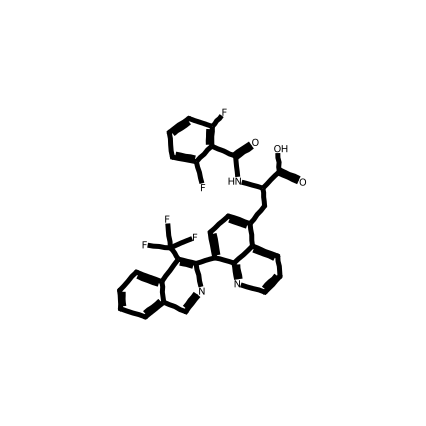 O=C(NC(Cc1ccc(-c2ncc3ccccc3c2C(F)(F)F)c2ncccc12)C(=O)O)c1c(F)cccc1F